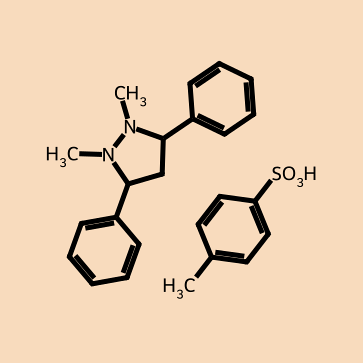 CN1C(c2ccccc2)CC(c2ccccc2)N1C.Cc1ccc(S(=O)(=O)O)cc1